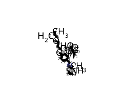 C=C(C)COCCC(=O)Oc1ccc(/C=C/C2(C)NC=CS2)cc1.O=S(=O)(O)C(F)(F)F